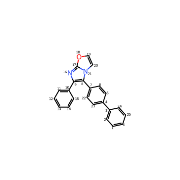 c1ccc(-c2ccc(-c3c(-c4ccccc4)nc4occn34)cc2)cc1